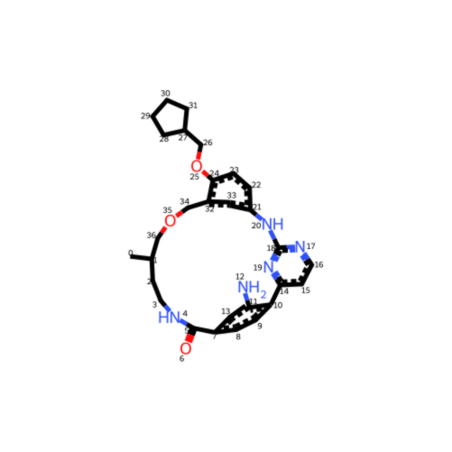 CC1CCNC(=O)c2ccc(c(N)c2)-c2ccnc(n2)Nc2ccc(OCC3CCCC3)c(c2)COC1